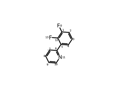 Fc1cccc(-c2[c]cccn2)c1F